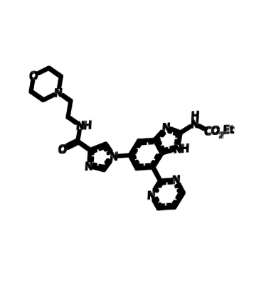 CCOC(=O)Nc1nc2cc(-n3cnc(C(=O)NCCN4CCOCC4)c3)cc(-c3ncccn3)c2[nH]1